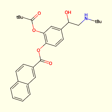 CC(C)(C)NCC(O)c1ccc(OC(=O)c2ccc3ccccc3c2)c(OC(=O)C(C)(C)C)c1